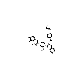 CCC1CN(C(Cc2ccc(Cl)c(Cl)c2)C(=O)NC)CCN1C(=O)C(Cc1ccc(F)cc1)NC(=O)c1ccncc1.O=C(O)C(F)(F)F